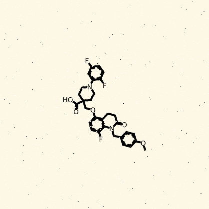 COc1ccc(CN2C(=O)CCc3c(OCC4(C(=O)O)CCN(c5cc(F)ccc5F)CC4)ccc(F)c32)cc1